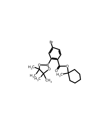 CC1(OC(=O)c2ccc(Br)cc2B2OC(C)(C)C(C)(C)O2)CCCCC1